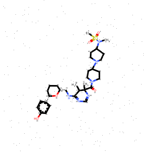 CCS(=O)(=O)N(C)C1CCN(C2CCN(C(=O)C3(C)N=CN=C(NC[C@H]4CCC[C@@H](c5ccc(O)cc5)O4)C3C)CC2)CC1